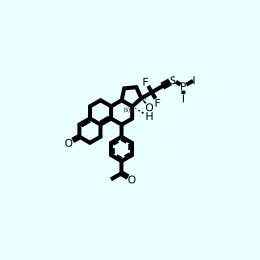 CC(=O)c1ccc(C2C[C@@]3(C)C(CC[C@@]3(O)C(F)(F)C#SP(I)I)C3CCC4=CC(=O)CCC4=C23)cc1